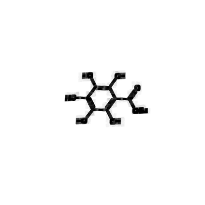 CC(C)COC(=O)c1c(O)c(O)c(O)c(O)c1O